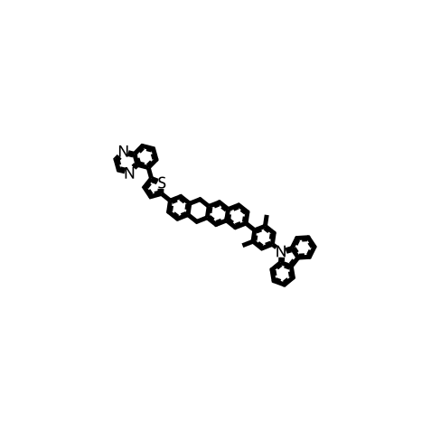 Cc1cc(-n2c3ccccc3c3ccccc32)cc(C)c1-c1ccc2cc3c(cc2c1)Cc1ccc(-c2ccc(-c4cccc5nccnc45)s2)cc1C3